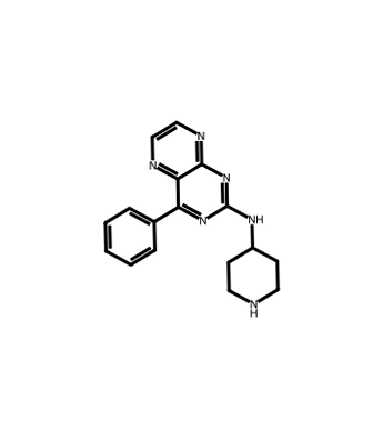 c1ccc(-c2nc(NC3CCNCC3)nc3nccnc23)cc1